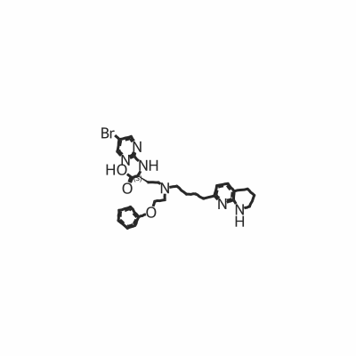 O=C(O)[C@H](CCN(CCCCc1ccc2c(n1)NCCC2)CCOc1ccccc1)Nc1ncc(Br)cn1